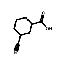 N#CC1CCCC(C(=O)O)C1